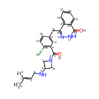 CC/C(C)=C\CNC1CN(C(=O)c2cc(Cc3n[nH]c(=O)c4ccccc34)ccc2F)C1